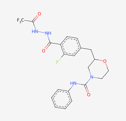 O=C(NNC(=O)C(F)(F)F)c1ccc(CC2CN(C(=O)Nc3ccccc3)CCO2)cc1F